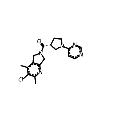 Cc1nc2c(c(C)c1Cl)CN(C(=O)[C@@H]1CCN(c3ccncn3)C1)C2